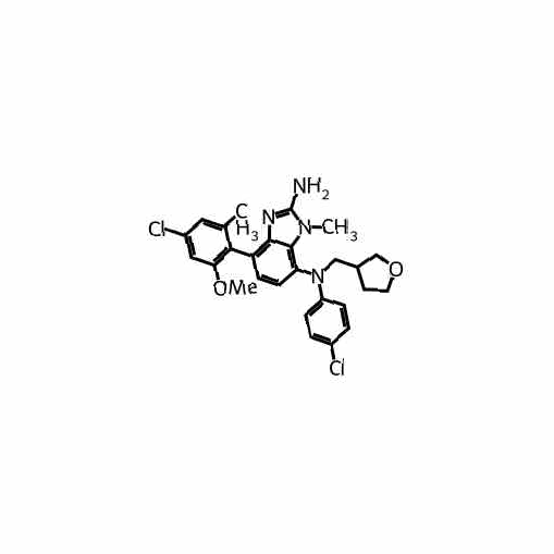 COc1cc(Cl)cc(C)c1-c1ccc(N(CC2CCOC2)c2ccc(Cl)cc2)c2c1nc(N)n2C